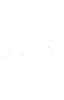 O=C(O)CNC(=O)N1CCC(CSc2cc(S(=O)(=O)c3ccccc3)ccc2C(F)(F)F)CC1